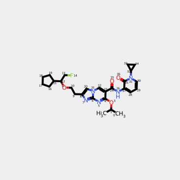 CC(C)Oc1nc2nc(CCOC(CF)C3CCCC3)cn2cc1C(=O)Nc1cccn(C2CC2)c1=O